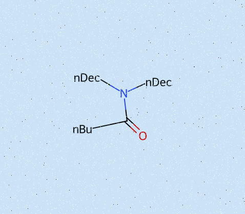 CCCCCCCCCCN(CCCCCCCCCC)C(=O)CCCC